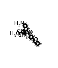 CC(C)(C)c1ccc(C(Cc2ccc(N)cc2)C(=O)Nc2ccc(-c3cc4ccccc4o3)cc2)cc1